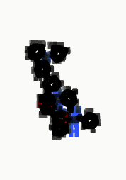 c1ccc(C2=NC(c3cccc(-n4c5ccccc5c5cc(-c6ccc7c8ccccc8n(-c8ccccc8)c7c6)ccc54)c3-n3c4ccccc4c4ccccc43)=NC(c3ccccc3)N2)cc1